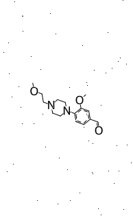 COCCN1CCN(c2ccc(C=O)cc2OC)CC1